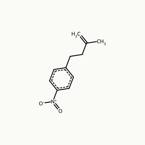 C=C(C)[CH]Cc1ccc([N+](=O)[O-])cc1